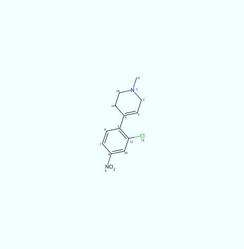 CN1CC=C(c2ccc([N+](=O)[O-])cc2Cl)CC1